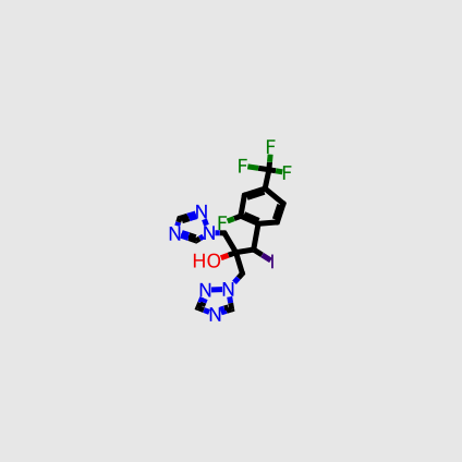 OC(Cn1cncn1)(Cn1cncn1)C(I)c1ccc(C(F)(F)F)cc1F